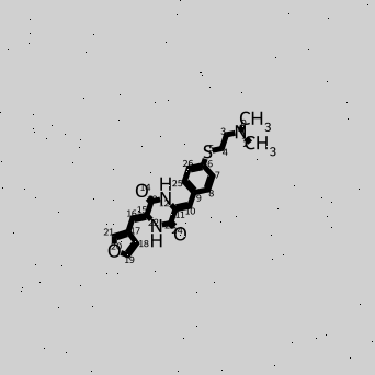 CN(C)CCSc1ccc(/C=c2\[nH]c(=O)/c(=C/c3ccoc3)[nH]c2=O)cc1